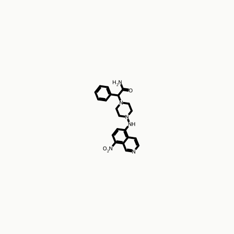 NC(=O)C(c1ccccc1)N1CCN(Nc2ccc([N+](=O)[O-])c3cnccc23)CC1